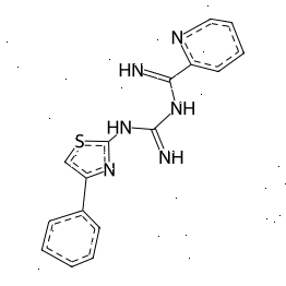 N=C(NC(=N)c1ccccn1)Nc1nc(-c2ccccc2)cs1